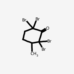 CC1CCC(Br)(Br)C(=O)C1(Br)Br